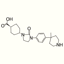 CC1(c2ccc(N3CCN([C@H]4CC[C@H](C(=O)O)CC4)C3=O)cc2)CCNCC1